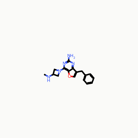 CNC1CN(c2nc(N)nc3c(Cc4ccccc4)coc23)C1